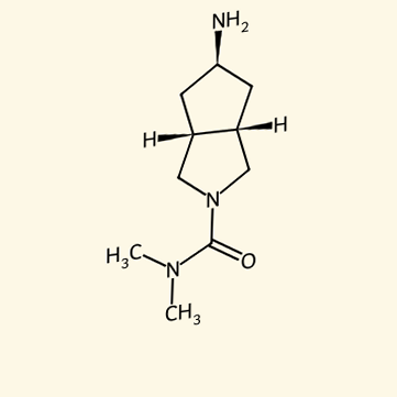 CN(C)C(=O)N1C[C@H]2C[C@H](N)C[C@H]2C1